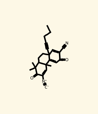 [C-]#[N+]C1=CC2(C)C3=CC(=O)C(C#N)=CC3(C#CCCC)CCC2C(C)(C)C1=O